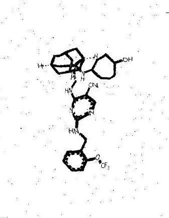 N#Cc1cnc(NCc2ccccc2OC(F)(F)F)nc1NC[C@@]12CC3C[C@H](C1)[C@@H](NC1CCC(O)CC1)[C@@H](C3)C2